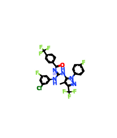 Cc1c(C(F)(F)F)nn(-c2ccc(F)cc2)c1N/C(=N\C(=O)c1ccc(C(F)(F)F)cc1)Nc1cc(F)cc(Cl)c1